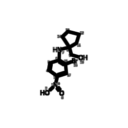 O=[N+](O)c1ccc(NC2(CO)CCCC2)c(Br)c1